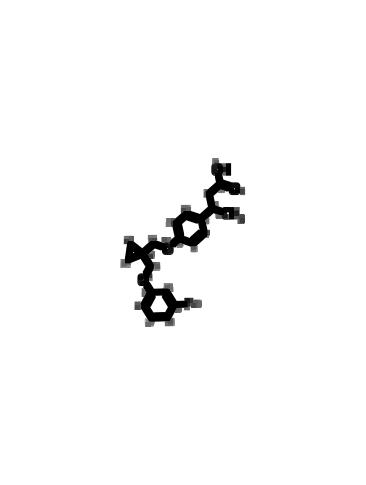 CC(CC(=O)O)c1ccc(OCC2(COc3cccc(F)c3)CC2)cc1